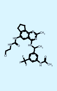 CC(=O)Nc1cc(C(C)Nc2nc(C)nc3c4c(c(NC(=O)NCCCl)cc23)CCC4)cc(C(F)(F)F)c1